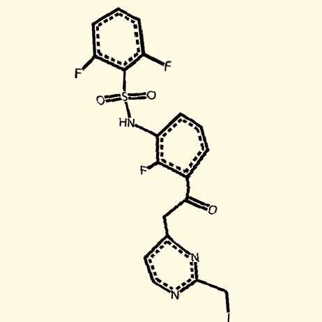 O=C(Cc1ccnc(CI)n1)c1cccc(NS(=O)(=O)c2c(F)cccc2F)c1F